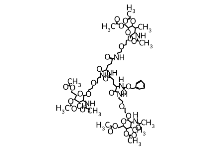 CC(=O)NC1C(OCCOCCNC(=O)CCC(NC(=O)CCC(NC(=O)OCc2ccccc2)C(=O)NCCOCCOC2OC(COC(C)=O)C(OC(C)=O)C(C)C2NC(C)=O)C(=O)NCCOCCOC2OC(COC(C)=O)C(OC(C)=O)C(C)C2NC(C)=O)OC(COC(C)=O)C(OC(C)=O)C1C